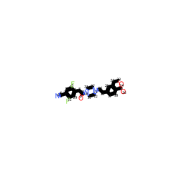 N#Cc1cc(F)c(CC(=O)N2CCN(CCc3ccc4c(c3)CCOC4=O)CC2)cc1F